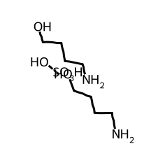 NCCCCO.NCCCCO.O=S(=O)(O)O